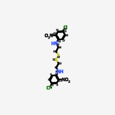 O=[N+]([O-])c1cc(Cl)ccc1NCCSSCCNc1ccc(Cl)cc1[N+](=O)[O-]